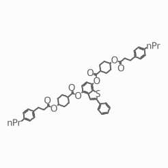 CCCc1ccc(CCC(=O)OC2CCC(C(=O)Oc3ccc(OC(=O)C4CCC(OC(=O)CCc5ccc(CCC)cc5)CC4)c4sc(-c5ccccc5)cc34)CC2)cc1